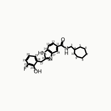 O=C(NCC1CCCCCC1)c1ccc2[nH]c(Cc3cccc(F)c3O)nc2c1